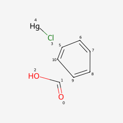 O=CO.[Cl][Hg].c1ccccc1